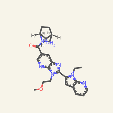 CCn1c(-c2nc3cc(C(=O)N4C[C@H]5CC[C@@H]4[C@@H]5N)cnc3n2CCOC)cc2cccnc21